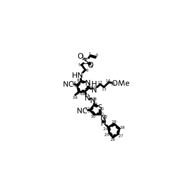 C=CS(=O)(=O)CCNc1nc(NCCCOC)c(/N=N/c2sc(/N=N/c3ccccc3)cc2C#N)c(C)c1C#N